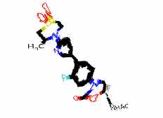 CC(=O)NC[C@H]1CN(c2ccc(-c3ccc(N4CCS(=O)(=O)CC4C)nc3)c(F)c2)C(=O)O1